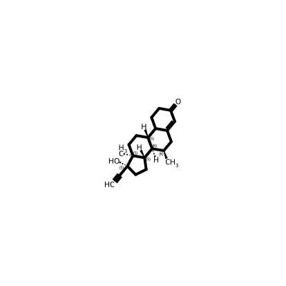 C#C[C@]1(O)CC[C@H]2[C@@H]3[C@H](C)CC4=CC(=O)CCC4[C@H]3CC[C@@]21C